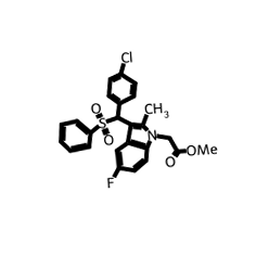 COC(=O)Cn1c(C)c(C(c2ccc(Cl)cc2)S(=O)(=O)c2ccccc2)c2cc(F)ccc21